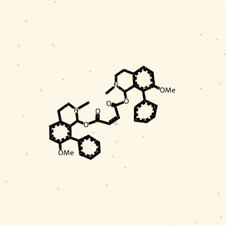 COc1ccc2c(c1-c1ccccc1)C(OC(=O)/C=C\C(=O)OC1c3c(ccc(OC)c3-c3ccccc3)CCN1C)N(C)CC2